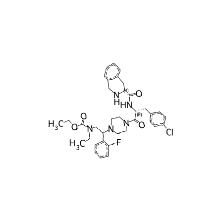 CCOC(=O)N(CC)CC(c1ccccc1F)N1CCN(C(=O)[C@@H](Cc2ccc(Cl)cc2)NC(=O)[C@H]2Cc3ccccc3CN2)CC1